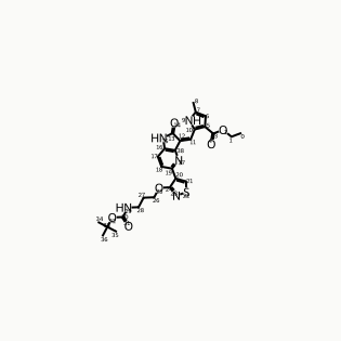 CCOC(=O)c1cc(C)[nH]c1/C=C1\C(=O)Nc2ccc(-c3csnc3OCCCNC(=O)OC(C)(C)C)nc21